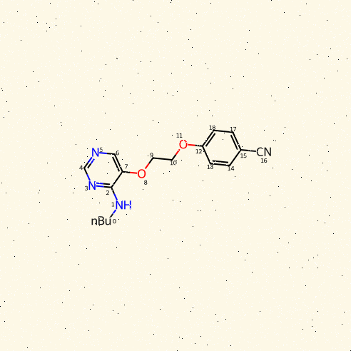 CCCCNc1ncncc1OCCOc1ccc(C#N)cc1